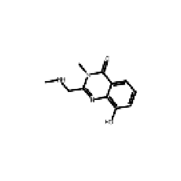 CNCc1nc2c(O)cccc2c(=O)n1C